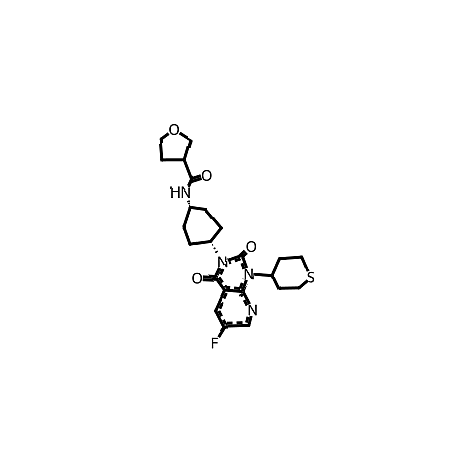 O=C(N[C@H]1CC[C@@H](n2c(=O)c3cc(F)cnc3n(C3CCSCC3)c2=O)CC1)C1CCOC1